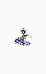 CCc1cccc(CC)c1-n1c(CC(C)C)c(C(=O)N2CCNCC2)cc(-c2nc(-c3ccc(Cl)c(F)c3)c(C)s2)c1=O